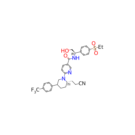 CCS(=O)(=O)c1ccc([C@H](CO)NC(=O)c2ccc(N3CC(c4ccc(C(F)(F)F)cc4)CC[C@H]3CCC#N)nc2)cc1